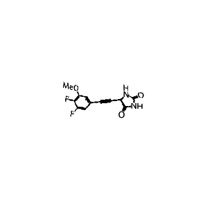 COc1cc(C#CC2NC(=O)NC2=O)cc(F)c1F